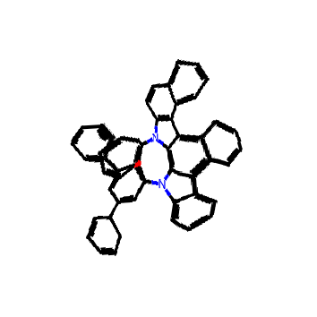 C1=CCC(c2cc(-c3ccccc3)cc(-n3c4ccccc4c4c5ccccc5c5c6c7ccccc7ccc6n(-c6ccccc6)c5c43)c2)C=C1